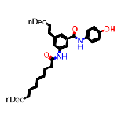 CCCCCCCCCCCCCCCCCC(=O)Nc1cc(CCCCCCCCCCCC)cc(C(=O)Nc2ccc(O)cc2)c1